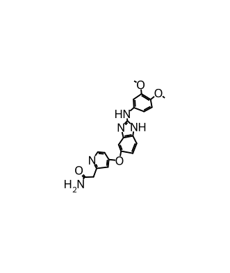 COc1ccc(Nc2nc3cc(Oc4ccnc(CC(N)=O)c4)ccc3[nH]2)cc1OC